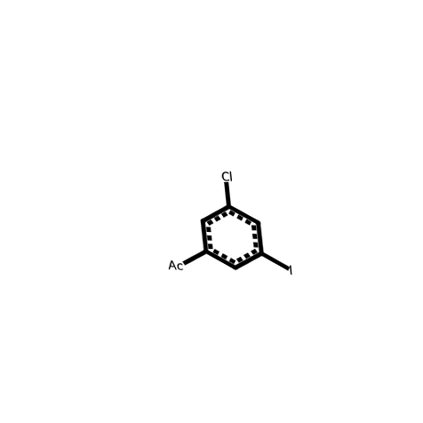 CC(=O)c1cc(Cl)cc(I)c1